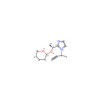 C#CC(C)n1ccnc1[C@H](C)OC1CCCCO1